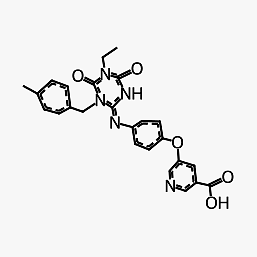 CCn1c(=O)[nH]/c(=N\c2ccc(Oc3cncc(C(=O)O)c3)cc2)n(Cc2ccc(C)cc2)c1=O